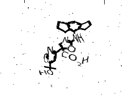 CC(C)(O)c1cc(C2(C(=O)O)CN=C(Nc3c4c(cc5c3CCC5)CCC4)O2)no1